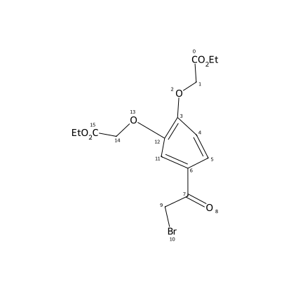 CCOC(=O)COc1ccc(C(=O)CBr)cc1OCC(=O)OCC